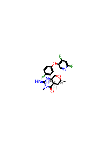 C[C@H]1C[C@H]2C(=O)N(C)C(=N)N[C@@]2(c2cc(Oc3cnc(F)cc3F)ccc2F)CO1